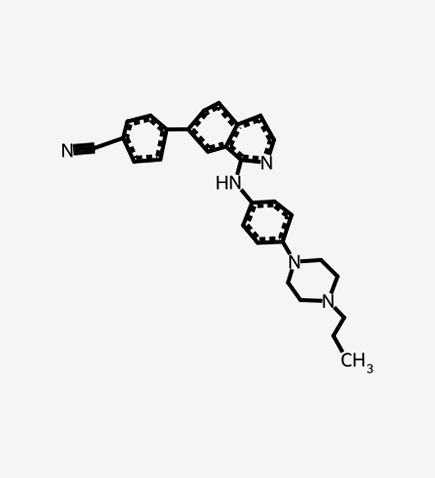 CCCN1CCN(c2ccc(Nc3nccc4ccc(-c5ccc(C#N)cc5)cc34)cc2)CC1